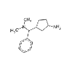 CN(C)C(c1ccccc1)C1CCC(N)C1